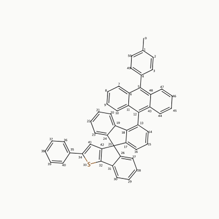 Cc1ccc(-c2c3ccccc3c(-c3cccc4c3-c3ccccc3C43c4ccccc4-c4sc(-c5ccccc5)cc43)c3ccccc23)cc1